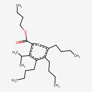 CCCCOC(=O)c1cc(CCCC)c(CCCC)c(CCCC)c1C(C)C